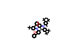 Cc1cc2c3c(c1)N(c1ccc(C(C)(C)C)cc1-c1ccccc1)c1c(ccc4c1oc1ccccc14)B3c1cc3c(cc1N2c1cc2c(cc1C)C(C)(C)CCC2(C)C)C(C)(C)CC3(C)C